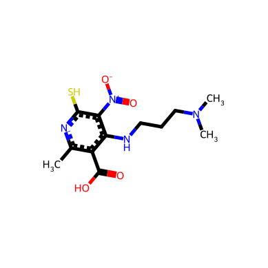 Cc1nc(S)c([N+](=O)[O-])c(NCCCN(C)C)c1C(=O)O